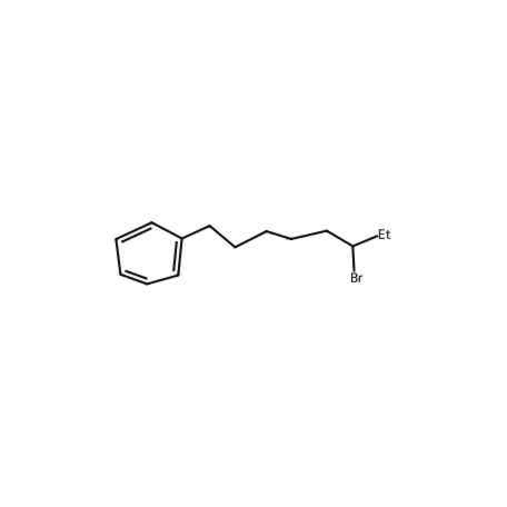 CCC(Br)C[CH]CCCc1ccccc1